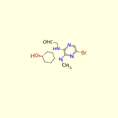 CN(c1nc(Br)cnc1NCC=O)[C@H]1CC[C@H](O)CC1